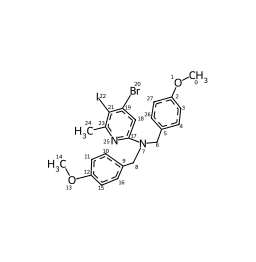 COc1ccc(CN(Cc2ccc(OC)cc2)c2cc(Br)c(I)c(C)n2)cc1